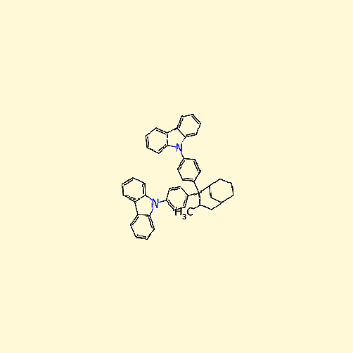 CC1CC2CCCC(C2)C1(c1ccc(-n2c3ccccc3c3ccccc32)cc1)c1ccc(-n2c3ccccc3c3ccccc32)cc1